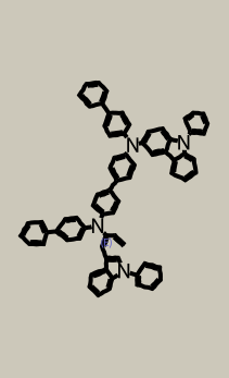 C=C/C(=C\c1cn(-c2ccccc2)c2ccccc12)N(c1ccc(-c2ccccc2)cc1)c1ccc(-c2ccc(N(c3ccc(-c4ccccc4)cc3)c3ccc4c(c3)c3ccccc3n4-c3ccccc3)cc2)cc1